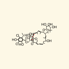 CCc1c(Cl)c(O)c(Cl)c(O)c1C(=O)O[C@@H]1[C@@H](O)[C@@H](C)[C@@H](OC/C2=C\C=C\C[C@H](O)/C(C)=C/[C@H](CC)[C@@H](O[C@@H]3OC(C)(C)[C@@H](O)[C@H](O)[C@@H]3O)/C(C)=C/C(C)=C/CC([C@@H](C)O)OC2=O)O[C@H]1C